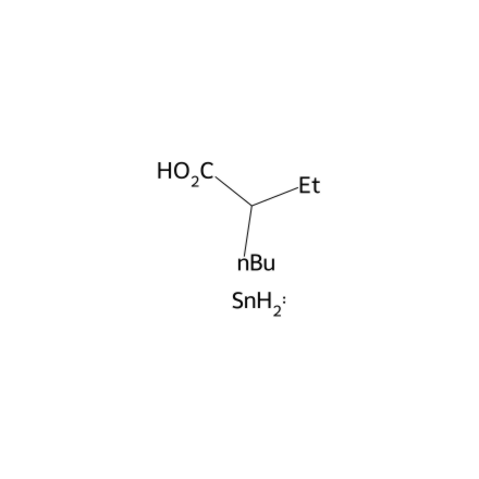 CCCCC(CC)C(=O)O.[SnH2]